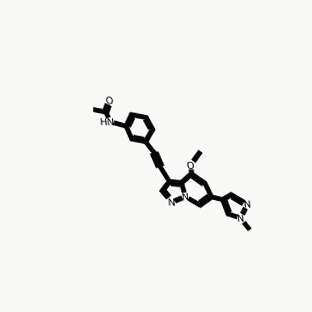 COc1cc(-c2cnn(C)c2)cn2ncc(C#Cc3cccc(NC(C)=O)c3)c12